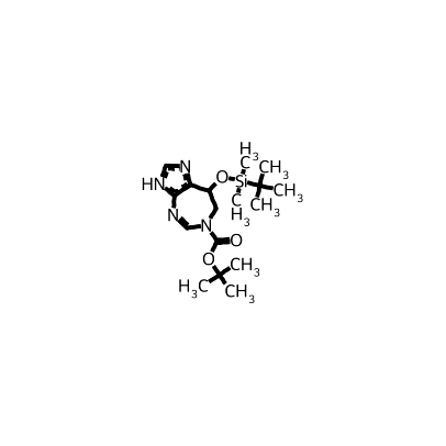 CC(C)(C)OC(=O)N1C=Nc2[nH]cnc2C(O[Si](C)(C)C(C)(C)C)C1